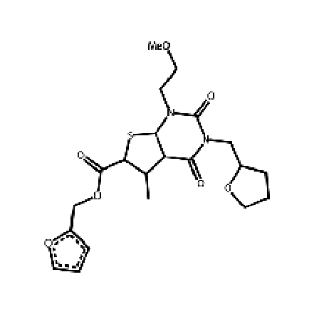 COCCN1C(=O)N(CC2CCCO2)C(=O)C2C(C)C(C(=O)OCc3ccco3)SC21